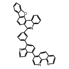 c1cc(-c2nc3ccccc3c3c2ccc2c4ccccc4oc23)cc(-c2ccc(-c3ccnc4c3ccc3cccnc34)c3cccnc23)c1